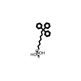 OP(O)(=S)OCCCCCCCCC(c1ccccc1)(c1ccccc1)c1ccccc1